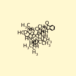 C#CCC(NC(=O)[C@@H]1[C@@H]2[C@H](CN1C(=O)[C@@H](NC(=O)N[C@H](CN1Cc3ccccc3C1=O)C(C)(C)C)C(C)(C)C)C2(C)C)C(=O)C(=O)NCC